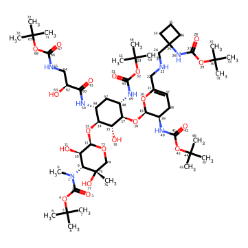 CN(C(=O)OC(C)(C)C)[C@@H]1[C@@H](O)[C@@H](O[C@@H]2[C@@H](O)[C@H](O[C@H]3OC(CNCC4(NC(=O)OC(C)(C)C)CCC4)=CC[C@H]3NC(=O)OC(C)(C)C)[C@@H](NC(=O)OC(C)(C)C)C[C@H]2NC(=O)[C@@H](O)CNC(=O)OC(C)(C)C)OC[C@]1(C)O